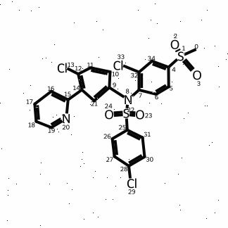 CS(=O)(=O)c1ccc(N(c2ccc(Cl)c(-c3ccccn3)c2)S(=O)(=O)c2ccc(Cl)cc2)c(Cl)c1